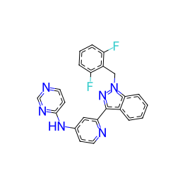 Fc1cccc(F)c1Cn1nc(-c2cc(Nc3ccncn3)ccn2)c2ccccc21